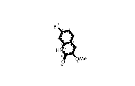 COc1cc2ccc(Br)cc2[nH]c1=O